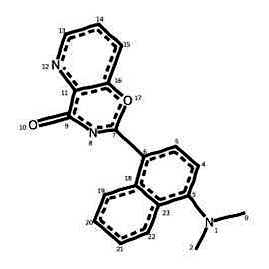 CN(C)c1ccc(-c2nc(=O)c3ncccc3o2)c2ccccc12